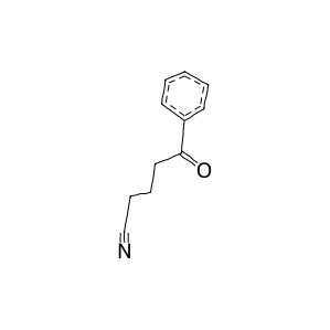 N#CCCCC(=O)c1ccccc1